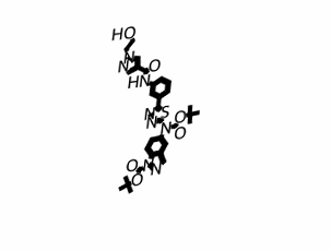 CC(C)(C)OC(=O)N(c1ccc2c(cnn2C(=O)OC(C)(C)C)c1)c1nnc(-c2cccc(NC(=O)c3cnn(CCO)c3)c2)s1